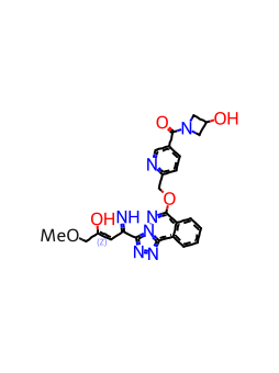 COC/C(O)=C/C(=N)c1nnc2c3ccccc3c(OCc3ccc(C(=O)N4CC(O)C4)cn3)nn12